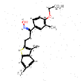 Cc1cc(C(CCc2sc3cc(C(F)(F)F)ccc3c2C(C)C)=NO)ccc1OCC(=O)O